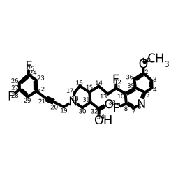 COc1ccc2ncc(F)c(C(F)CCC3CCN(CC#Cc4cc(F)cc(F)c4)CC3C(=O)O)c2c1